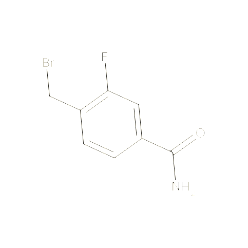 NC(=O)c1ccc(CBr)c(F)c1